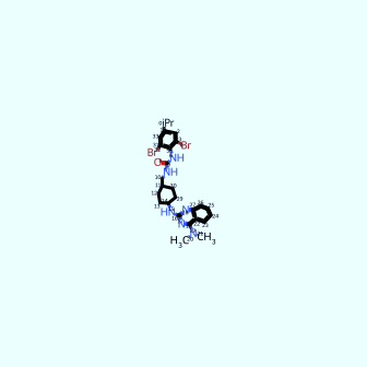 CC(C)c1cc(Br)c(NC(=O)NCC2CCC(Nc3nc(N(C)C)c4ccccc4n3)CC2)c(Br)c1